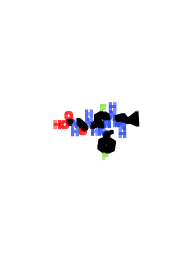 C[C@H](Nc1nc(Nc2cc(C3CC3)[nH]n2)c(F)cc1CNC(=O)CNC(=O)O)c1ccc(F)cc1